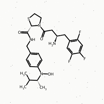 CC(C)[C@@H](C)N(O)c1ccc(CNC(=O)[C@@H]2SCCN2C(=O)C[C@H](N)Cc2cc(F)c(F)cc2F)cc1